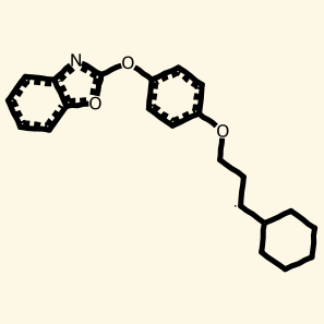 [CH](CCOc1ccc(Oc2nc3ccccc3o2)cc1)C1CCCCC1